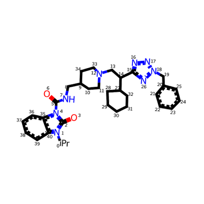 CC(C)n1c(=O)n(C(=O)NCC2CCN(CC(c3nnn(Cc4ccccc4)n3)C3CCCCC3)CC2)c2ccccc21